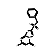 O=c1cc(F)nc2sc(S(=O)(=O)Cc3ccccc3)nn12